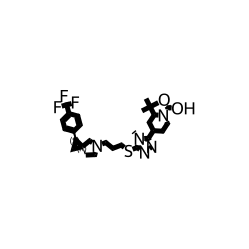 Cn1c(SCCCN2CC[C@@]3(C[C@H]3c3ccc(C(F)(F)F)cc3)C2)nnc1C1CCN(C(=O)O)C(C(C)(C)C)C1